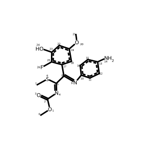 COC(=O)/N=C(SC)/C(=N/c1ccc(N)cc1)c1cc(OC)cc(O)c1F